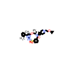 Cc1cccc(C)c1-c1cc2nc(n1)NS(=O)(=O)c1cccc(c1)C(=O)N(C1CC3(CCN(CCOC4CC4)CC3)C1)[C@H](CC(C)C)CO2